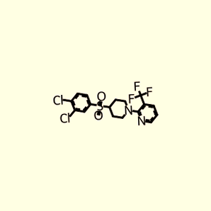 O=S(=O)(c1ccc(Cl)c(Cl)c1)C1CCN(c2ncccc2C(F)(F)F)CC1